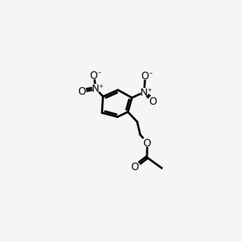 CC(=O)OCCc1ccc([N+](=O)[O-])cc1[N+](=O)[O-]